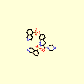 O=C(C(Cc1ccc(OS(=O)(=O)c2cccc3cnccc23)cc1)NS(=O)(=O)c1cccc2cnccc12)N1CCNCC1